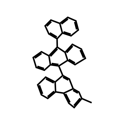 Cc1ccc2c(c1)cc(-c1c3ccccc3c(-c3cccc4ccccc34)c3ccccc13)c1ccccc12